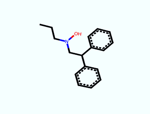 CCCN(O)CC(c1ccccc1)c1ccccc1